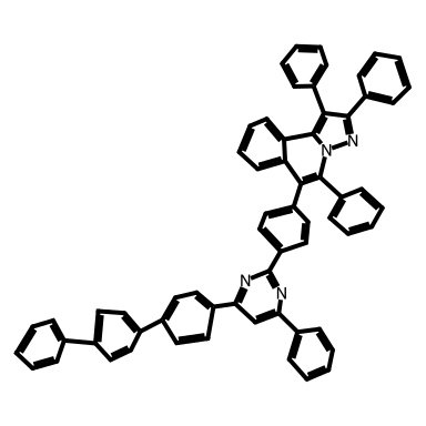 c1ccc(-c2ccc(-c3ccc(-c4cc(-c5ccccc5)nc(-c5ccc(-c6c(-c7ccccc7)n7nc(-c8ccccc8)c(-c8ccccc8)c7c7ccccc67)cc5)n4)cc3)cc2)cc1